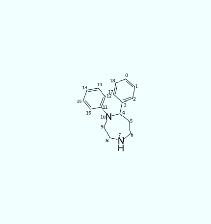 c1ccc(C2CCNCCN2c2ccccc2)cc1